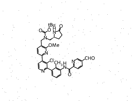 COc1nc(-c2ccnc(-c3cccc(NC(=O)c4ccc(C=O)cn4)c3C)c2Cl)ccc1CN(C[C@@H]1CCC(=O)N1)C(=O)OC(C)(C)C